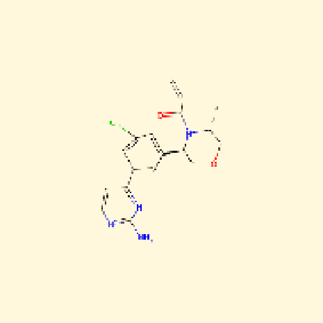 C=CC(=O)N1[C@H](C)COC[C@H]1c1cc(Cl)cc(-c2ccnc(N)n2)c1